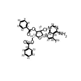 C[C@@]1(Cl)[C@H](OC(=O)c2ccccc2)[C@@H](COC(=O)c2ccccc2)O[C@H]1n1cc(I)c2c(N)ncnc21